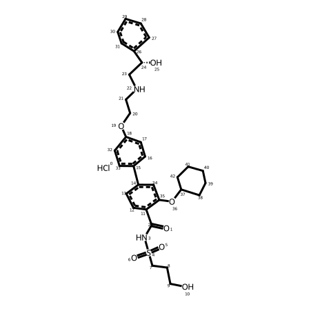 Cl.O=C(NS(=O)(=O)CCCO)c1ccc(-c2ccc(OCCNC[C@@H](O)c3ccccc3)cc2)cc1OC1CCCCC1